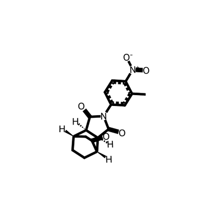 Cc1cc(N2C(=O)[C@@H]3[C@H]4CC[C@H](C(=O)C4)[C@@H]3C2=O)ccc1[N+](=O)[O-]